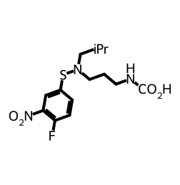 CC(C)CN(CCCNC(=O)O)Sc1ccc(F)c([N+](=O)[O-])c1